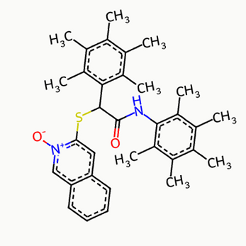 Cc1c(C)c(C)c(NC(=O)C(Sc2cc3ccccc3c[n+]2[O-])c2c(C)c(C)c(C)c(C)c2C)c(C)c1C